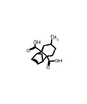 CC1CCC2(C(=O)O)C3C=CC(C3)C2(C(=O)O)C1